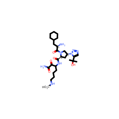 CC(C)(O)c1cnnn1[C@H]1C[C@@H](C(=O)NC(CCCCNC(=O)O)C(=O)C(N)=O)N(C(=O)[C@H](N)CC2CCCCC2)C1